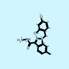 Cc1ccc2c(C(=O)NN)nn(Cc3ccc(Cl)cc3Cl)c2c1